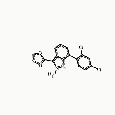 Cn1nc2c(-c3ccc(Cl)cc3Cl)cccc2c1-c1nnco1